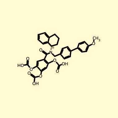 COc1ccc(-c2ccc(CN(C(=O)c3cc(OC(=O)O)c(OC(=O)O)cc3OC(=O)O)[C@H]3CCCc4ccccc43)cc2)cc1